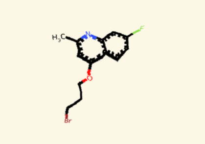 Cc1cc(OCCCBr)c2ccc(F)cc2n1